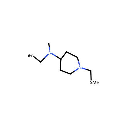 CSCN1CCC(N(C)CC(C)C)CC1